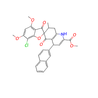 COC(=O)C1=CC(c2ccc3ccccc3c2)C2=C(CC(C)C3(Oc4c(Cl)c(OC)cc(OC)c4C3=O)C2=O)N1